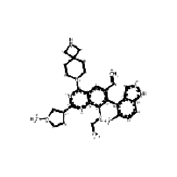 C=Cc1cc2c(N3CCC4(CC3)CNC4)nc(C3CCN(C)C3)nc2c(OCC(F)(F)F)c1-c1c(C)ccc2[nH]ncc12